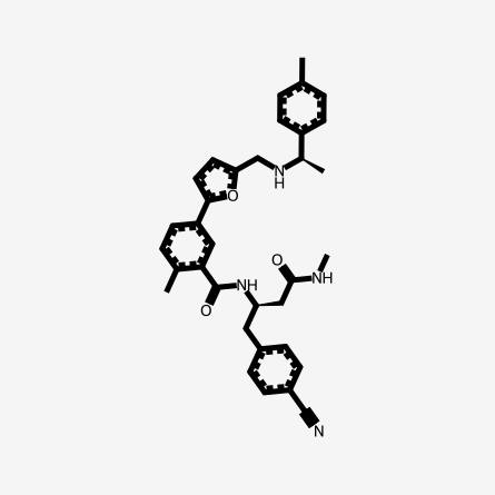 CNC(=O)C[C@@H](Cc1ccc(C#N)cc1)NC(=O)c1cc(-c2ccc(CN[C@H](C)c3ccc(C)cc3)o2)ccc1C